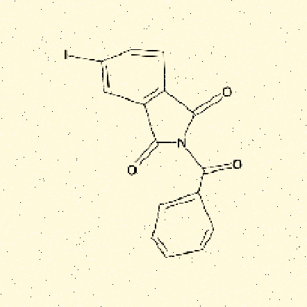 O=C(c1ccccc1)N1C(=O)c2ccc(I)cc2C1=O